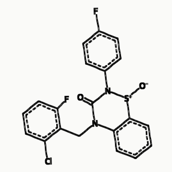 O=C1N(Cc2c(F)cccc2Cl)c2ccccc2[S+]([O-])N1c1ccc(F)cc1